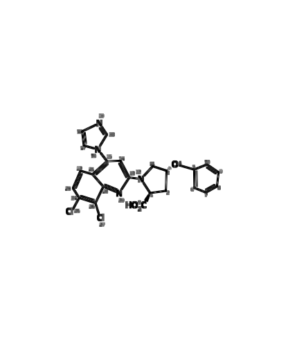 O=C(O)[C@@H]1C[C@@H](Oc2ccccc2)CN1c1cc(-n2ccnc2)c2ccc(Cl)c(Cl)c2n1